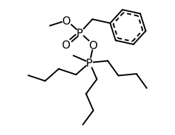 CCCCP(C)(CCCC)(CCCC)OP(=O)(Cc1ccccc1)OC